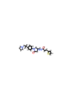 CC(C)(CN1CCCC1)c1ccc(N2CC(CNC(=O)C=Cc3cccs3)CC2=O)cc1